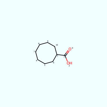 O=C(O)C1CCC[CH]CCC1